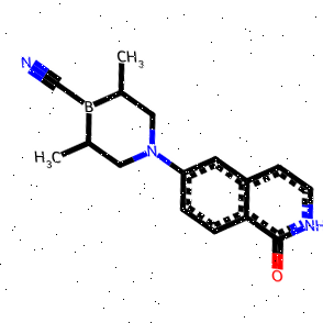 CC1CN(c2ccc3c(=O)[nH]ccc3c2)CC(C)B1C#N